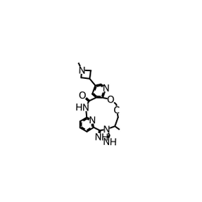 CC1CCCOc2ncc(C3CN(C)C3)cc2C(=O)Nc2cccc(n2)C(=N)N1C=N